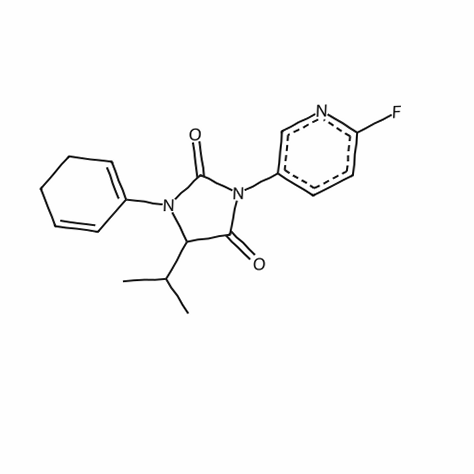 CC(C)C1C(=O)N(c2ccc(F)nc2)C(=O)N1C1=CCCC=C1